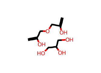 C=C(O)COCC(=C)O.OCC(O)CO